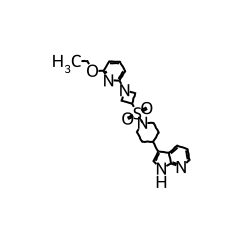 CCOc1cccc(N2CC(S(=O)(=O)N3CCC(c4c[nH]c5ncccc45)CC3)C2)n1